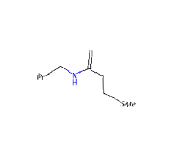 C=C(CCSC)NCC(C)C